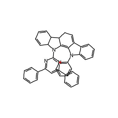 C1=CC2C3CC=c4c(n(-c5ccccc5)c5ccccc45)=C3N(c3nc(-c4ccccc4)cc(-c4ccccc4)n3)C2C=C1